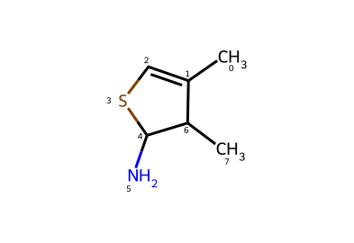 CC1=CSC(N)C1C